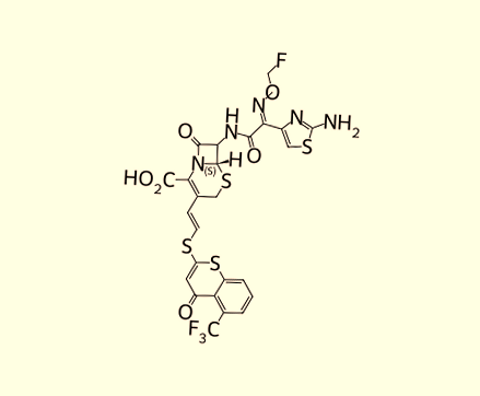 Nc1nc(C(=NOCF)C(=O)NC2C(=O)N3C(C(=O)O)=C(C=CSc4cc(=O)c5c(C(F)(F)F)cccc5s4)CS[C@@H]23)cs1